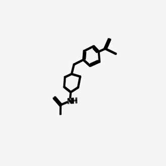 C=C(C)NC1CCC(Cc2ccc(C(=C)C)cc2)CC1